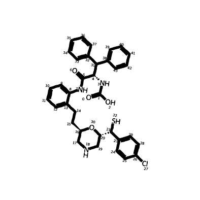 O=C(O)N[C@H](C(=O)Nc1ccccc1CC[C@@H]1CNC[C@@H](C(S)c2ccc(Cl)cc2)O1)C(c1ccccc1)c1ccccc1